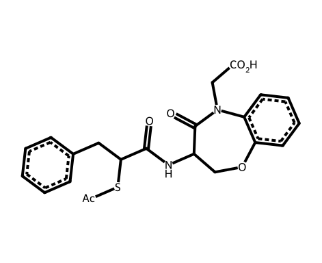 CC(=O)SC(Cc1ccccc1)C(=O)NC1COc2ccccc2N(CC(=O)O)C1=O